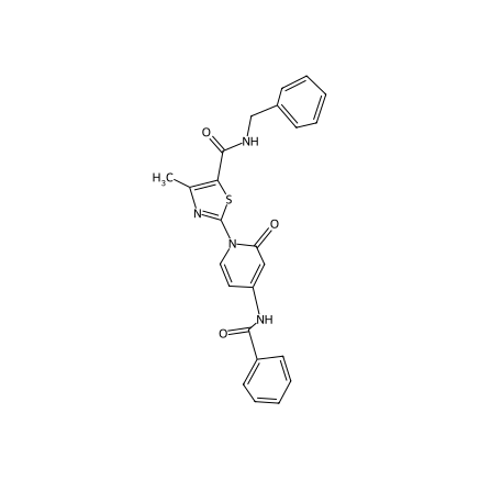 Cc1nc(-n2ccc(NC(=O)c3ccccc3)cc2=O)sc1C(=O)NCc1ccccc1